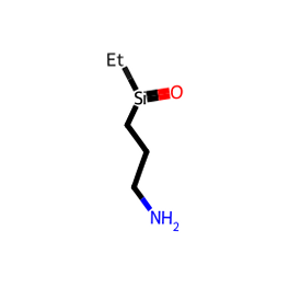 CC[Si](=O)CCCN